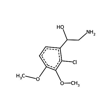 COc1ccc(C(O)CN)c(Cl)c1OC